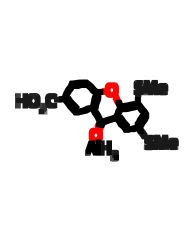 CSc1cc(SC)c2oc3ccc(C(=O)O)cc3c(=O)c2c1.[AlH3]